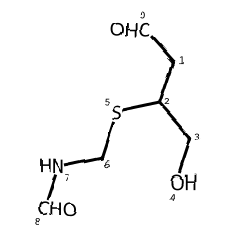 O=CCC(CO)SCNC=O